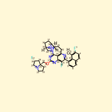 Cc1c(F)ccc2cccc(-c3nc4c5c(nc(OC[C@@]67CCCN6C[C@H](F)C7)nc5c3F)N3C[C@H]5CC[C@H](N5)[C@@H]3CC4)c12